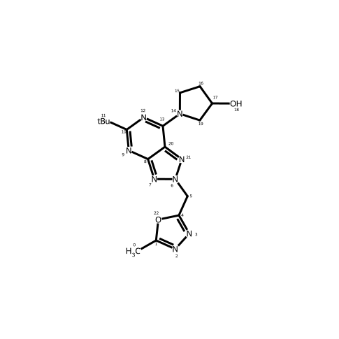 Cc1nnc(Cn2nc3nc(C(C)(C)C)nc(N4CCC(O)C4)c3n2)o1